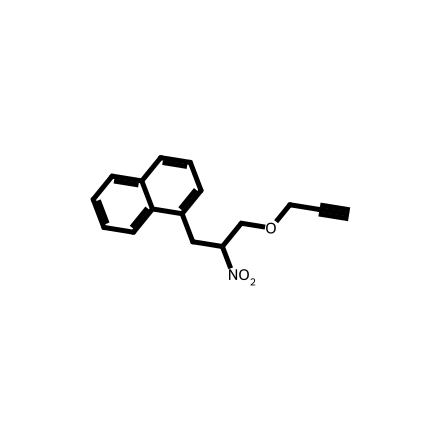 C#CCOCC(Cc1cccc2ccccc12)[N+](=O)[O-]